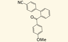 COc1ccc(C(=O)c2ccccc2-c2ccc(C#N)cc2)cc1